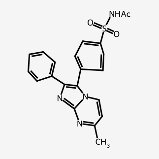 CC(=O)NS(=O)(=O)c1ccc(-c2c(-c3ccccc3)nc3nc(C)ccn23)cc1